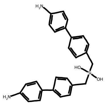 Nc1ccc(-c2ccc(C[Si](O)(O)Cc3ccc(-c4ccc(N)cc4)cc3)cc2)cc1